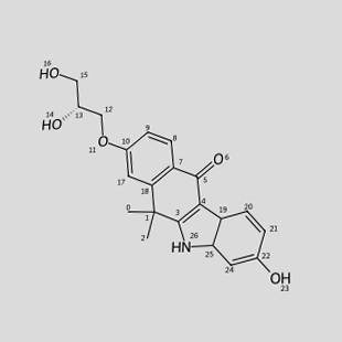 CC1(C)C2=C(C(=O)c3ccc(OC[C@H](O)CO)cc31)C1C=CC(O)=CC1N2